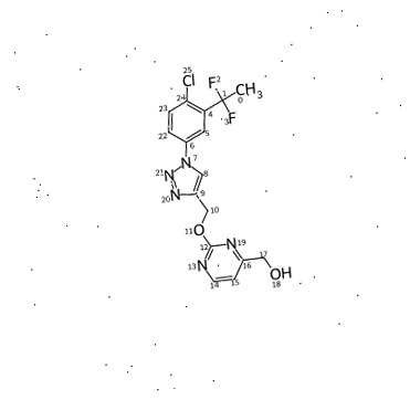 CC(F)(F)c1cc(-n2cc(COc3nccc(CO)n3)nn2)ccc1Cl